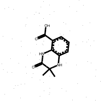 CC1(C)Nc2cccc(C(=O)O)c2NC1=O